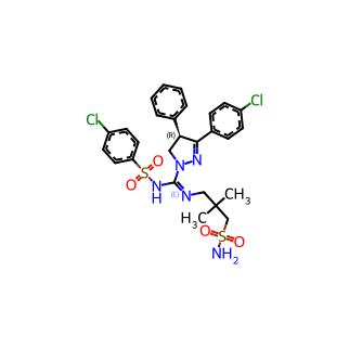 CC(C)(C/N=C(/NS(=O)(=O)c1ccc(Cl)cc1)N1C[C@@H](c2ccccc2)C(c2ccc(Cl)cc2)=N1)CS(N)(=O)=O